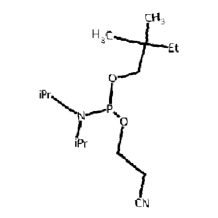 CCC(C)(C)COP(OCCC#N)N(C(C)C)C(C)C